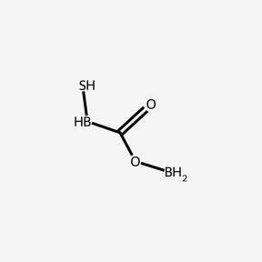 BOC(=O)BS